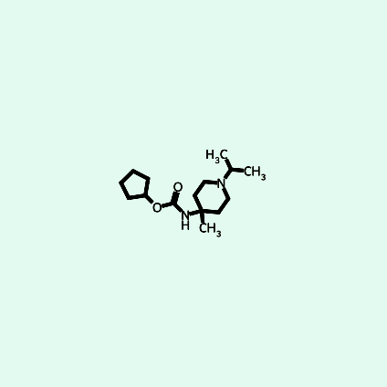 CC(C)N1CCC(C)(NC(=O)OC2CCCC2)CC1